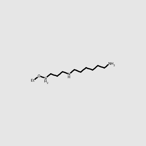 CCO[SiH2]CCCNCCCCCCN